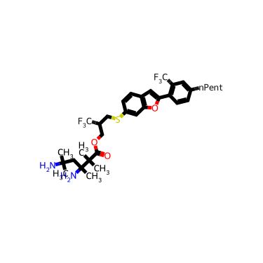 CCCCCc1ccc(-c2cc3ccc(SCC(COC(=O)C(C)(C)C(C)(N)CC(C)(C)N)C(F)(F)F)cc3o2)c(C(F)(F)F)c1